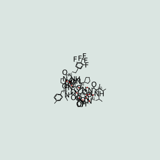 CC[C@H](C)[C@H](NC(=O)[C@H](CC(C)C)N(C)C(=O)C[C@@H](C(=O)N(C)C)N(C)C(=O)[C@H](C1CCCC1)N(C)C(=O)C1(NC(=O)[C@@H]2CCCN2C(=O)[C@H](CCc2cc(F)c(C(F)(F)F)c(F)c2)NC(=O)CN(C)C(=O)[C@H](Cc2ccc(C)cc2)N(CC)C(=O)OCc2ccccc2)CCCC1)C(=O)N(C)[C@@H](C)C(=O)N1CC[C@H]1C(=O)O